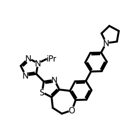 CC(C)n1ncnc1-c1nc2c(s1)CCOc1ccc(-c3ccc(N4CCCC4)cc3)cc1-2